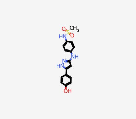 CS(=O)(=O)Nc1ccc(Nc2cc(-c3ccc(O)cc3)[nH]n2)cc1